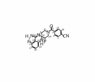 N#Cc1ccc(C(=O)N2CC[C@@]3(N=C(N)c4c(F)cccc4N3)[C@@H](F)C2)cc1